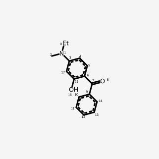 CCN(C)c1ccc(C(=O)c2ccccc2)c(O)c1